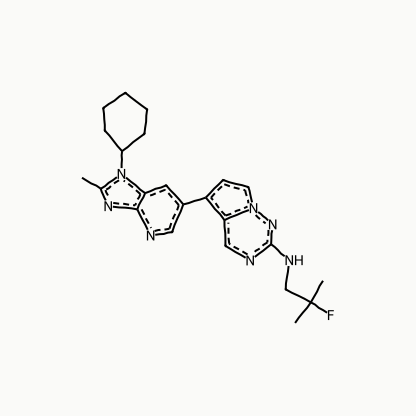 Cc1nc2ncc(-c3ccn4nc(NCC(C)(C)F)ncc34)cc2n1C1CCCCC1